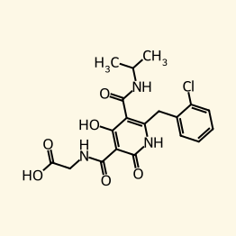 CC(C)NC(=O)c1c(Cc2ccccc2Cl)[nH]c(=O)c(C(=O)NCC(=O)O)c1O